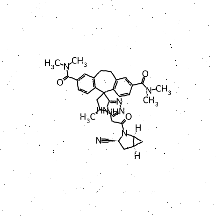 C[C@@H](CC1(c2nnc[nH]2)c2ccc(C(=O)N(C)C)cc2CCc2cc(C(=O)N(C)C)ccc21)NCC(=O)N1[C@H](C#N)C[C@@H]2C[C@@H]21